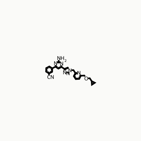 N#Cc1cccc(-c2cc(-c3cn(Cc4cccc(COCC5CC5)n4)nn3)nc(N)n2)c1